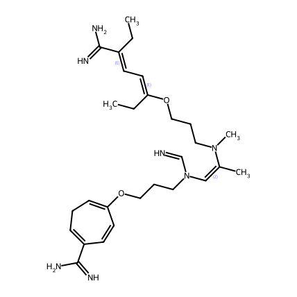 CC/C(=C\C=C(/CC)C(=N)N)OCCCN(C)/C(C)=C\N(C=N)CCCOC1=CCC=C(C(=N)N)C=C1